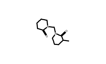 CC1CCCN(CN2CCCCC2=O)C1=O